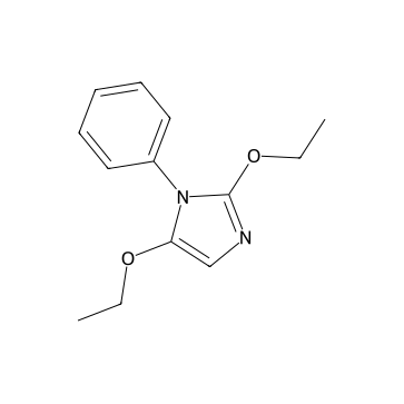 CCOc1cnc(OCC)n1-c1ccccc1